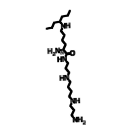 CCCC(CCC)NCCCC[C@H](N)C(=O)NCCCNCCCCNCCCN